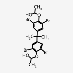 CC(O)Oc1c(Br)cc(C(C)(C)c2cc(Br)c(OC(C)O)c(Br)c2)cc1Br